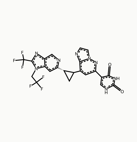 O=c1[nH]cc(-c2cc(C3C[C@@H]3c3cc4c(cn3)nc(C(F)(F)F)n4CC(F)(F)F)c3nccn3n2)c(=O)[nH]1